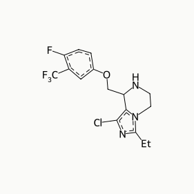 CCc1nc(Cl)c2n1CCNC2COc1ccc(F)c(C(F)(F)F)c1